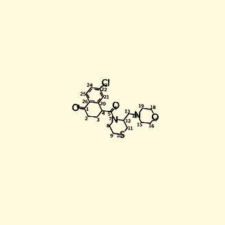 O=C1CCC(C(=O)N2CCSCC2CN2CCOCC2)c2cc(Cl)ccc21